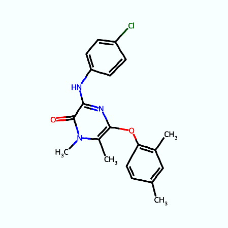 Cc1ccc(Oc2nc(Nc3ccc(Cl)cc3)c(=O)n(C)c2C)c(C)c1